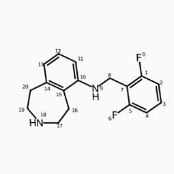 Fc1cccc(F)c1CNc1cccc2c1CCNCC2